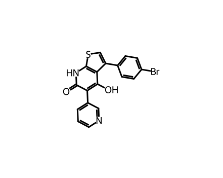 O=c1[nH]c2scc(-c3ccc(Br)cc3)c2c(O)c1-c1cccnc1